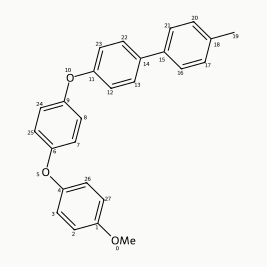 COc1ccc(Oc2ccc(Oc3ccc(-c4ccc(C)cc4)cc3)cc2)cc1